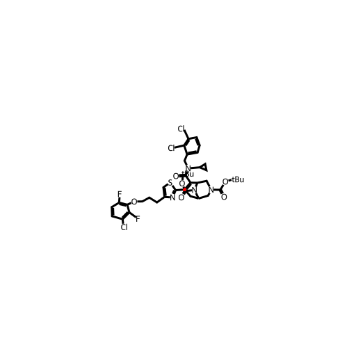 CC(C)(C)OC(=O)N1CC2CC(c3nc(CCCOc4c(F)ccc(Cl)c4F)cs3)=C(C(=O)N(Cc3cccc(Cl)c3Cl)C3CC3)C(C1)N2C(=O)OC(C)(C)C